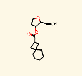 C#CC1OCCC1OC(=O)C1CC2(CCCCC2)C1